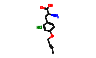 CC#CCOc1ccc(C[C@H](N)C(=O)O)cc1.Cl